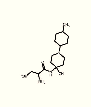 CC1CCC(N2CCC(C#N)(NC(=O)C(N)CC(C)(C)C)CC2)CC1